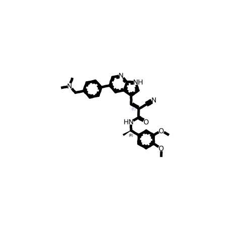 COc1ccc([C@@H](C)NC(=O)/C(C#N)=C/c2c[nH]c3ncc(-c4ccc(CN(C)C)cc4)cc23)cc1OC